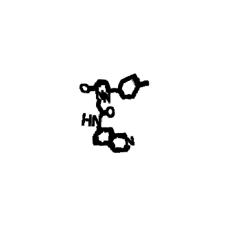 CC1CC=C(c2ccc(=O)n(CC(=O)Nc3ccc4ccncc4c3)n2)CC1